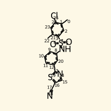 Cc1cc(S(=O)(=O)Nc2cccc(-c3ncc(C#N)s3)c2)c(C)cc1Cl